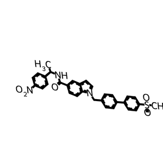 CC(NC(=O)c1ccc2c(ccn2Cc2ccc(-c3ccc(S(C)(=O)=O)cc3)cc2)c1)c1ccc([N+](=O)[O-])cc1